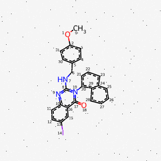 COc1ccc(CNc2nc3ccc(I)cc3c(=O)n2-c2cccc3ccccc23)cc1